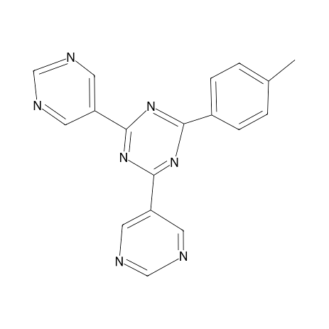 Cc1ccc(-c2nc(-c3cncnc3)nc(-c3cncnc3)n2)cc1